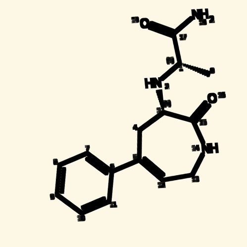 C[C@H](N[C@H]1CC(c2ccccc2)=CCNC1=O)C(N)=O